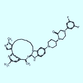 C=C1/N=C2\Nc3ccc(N4CCC(N5CCN(c6cc(F)cc(F)c6)CC5=O)CC4)cc3N2CCCCCCc2c(cnn2C)-c2cc1cc(C)n2